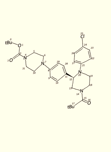 CC(C)(C)OC(=O)N1CCN(c2ccc([C@@H]3CN(C(=O)C(C)(C)C)CCN3c3ccc(Cl)cc3)cc2)CC1